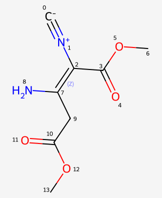 [C-]#[N+]/C(C(=O)OC)=C(\N)CC(=O)OC